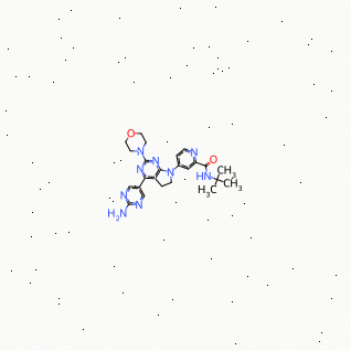 CC(C)(C)NC(=O)c1cc(N2CCc3c(-c4cnc(N)nc4)nc(N4CCOCC4)nc32)ccn1